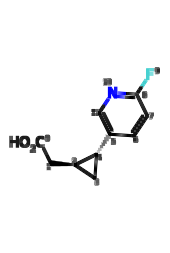 O=C(O)C[C@@H]1C[C@H]1c1ccc(F)nc1